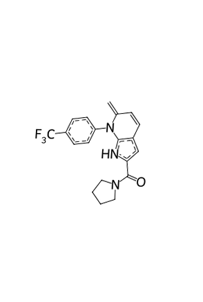 C=C1C=Cc2cc(C(=O)N3CCCC3)[nH]c2N1c1ccc(C(F)(F)F)cc1